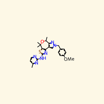 COc1ccc(Cn2cc3c(n2)C(C)OC(C)(C)c2sc(Nc4nccc(C)n4)nc2-3)cc1